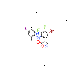 Cc1cc(I)ccc1Nc1c(C2C=NOC2=O)cc(Br)c(F)c1F